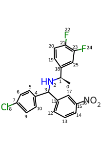 C[C@@H](NC(c1ccc(Cl)cc1)c1cccc([N+](=O)[O-])c1)c1ccc(F)c(F)c1